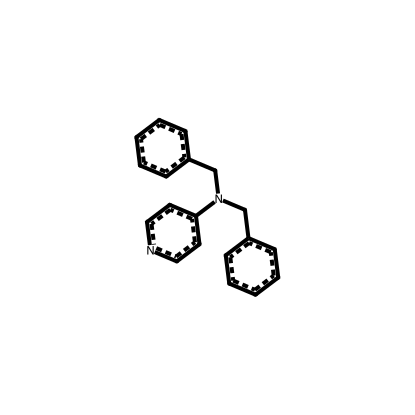 c1ccc(CN(Cc2ccccc2)c2ccncc2)cc1